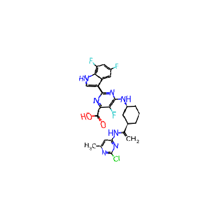 C=C(Nc1cc(C)nc(Cl)n1)[C@@H]1CCC[C@H](Nc2nc(-c3c[nH]c4c(F)cc(F)cc34)nc(C(=O)O)c2F)C1